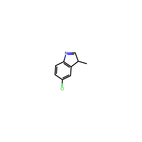 CC1C=Nc2ccc(Cl)cc21